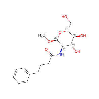 CO[C@H]1O[C@H](CO)[C@@H](O)[C@H](O)[C@H]1NC(=O)CCCc1ccccc1